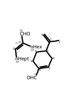 C=C(C)C1CC=C(C=O)CC1.CCCCCCC/C=C(/C=O)CCCCCC